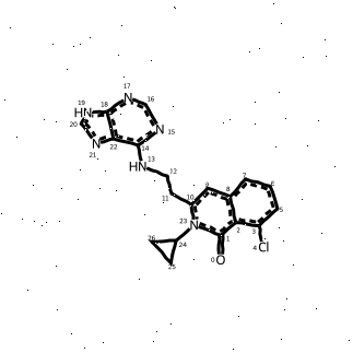 O=c1c2c(Cl)cccc2cc(CCNc2ncnc3[nH]cnc23)n1C1CC1